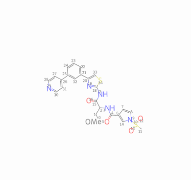 COCC(NC(=O)c1ccn(S(C)(=O)=O)c1)C(=O)Nc1nc(-c2cccc(-c3ccncc3)c2)cs1